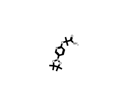 CC(C)(Oc1ccc(B2OC(C)(C)C(C)(C)O2)cn1)C(N)=O